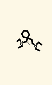 CCN(CC)CCC1([C@H](C)N(CC)CC)CCCCC1